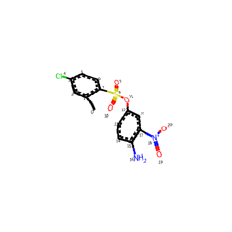 Cc1cc(Cl)ccc1S(=O)(=O)Oc1ccc(N)c([N+](=O)[O-])c1